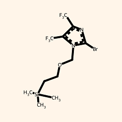 C[Si](C)(C)CCOCn1c(Br)nc(C(F)(F)F)c1C(F)(F)F